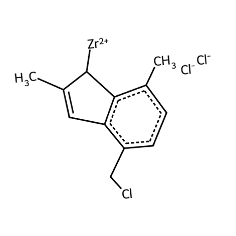 CC1=Cc2c(CCl)ccc(C)c2[CH]1[Zr+2].[Cl-].[Cl-]